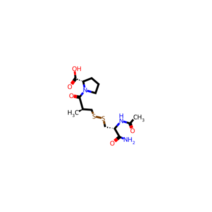 CC(=O)N[C@@H](CSSC[C@@H](C)C(=O)N1CCC[C@H]1C(=O)O)C(N)=O